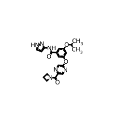 CC(C)Oc1cc(Oc2cnc(C(=O)N3CCC3)cn2)cc(C(=O)Nc2cc[nH]n2)c1